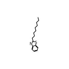 CCCCCCCCCc1nc2ccccc2s1